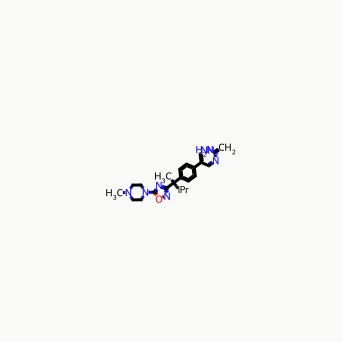 C=C(N)/N=C\C(=C/N)c1ccc(C(C)(c2noc(N3CCN(C)CC3)n2)C(C)C)cc1